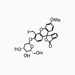 COc1ccc2c(c1)Oc1c(ccc(OC3C[C@@H](O)[C@@H](O)[C@@H](CO)O3)c1CF)C21OC(=O)c2ccccc21